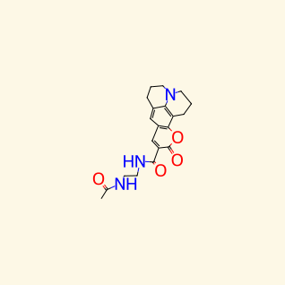 CC(=O)NCCNC(=O)c1cc2cc3c4c(c2oc1=O)CCCN4CCC3